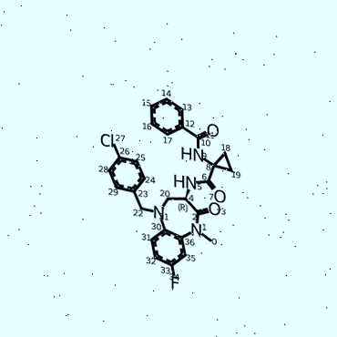 CN1C(=O)[C@H](NC(=O)C2(NC(=O)c3ccccc3)CC2)CN(Cc2ccc(Cl)cc2)c2ccc(F)cc21